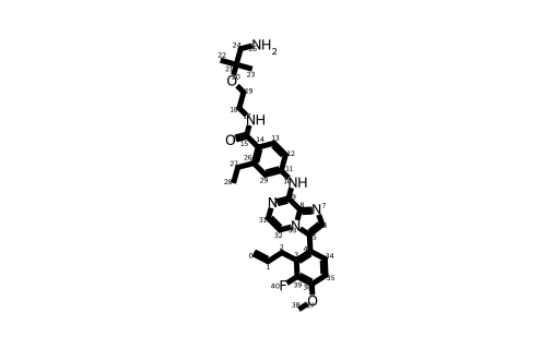 C=CCc1c(-c2cnc3c(Nc4ccc(C(=O)NCCOC(C)(C)CN)c(CC)c4)nccn23)ccc(OC)c1F